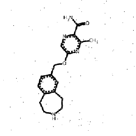 Cc1nc(OCc2ccc3c(c2)CCNCC3)cnc1C(N)=O